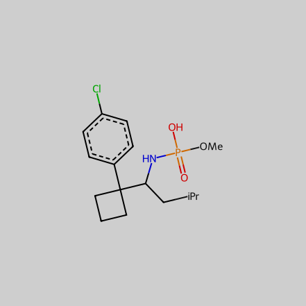 COP(=O)(O)NC(CC(C)C)C1(c2ccc(Cl)cc2)CCC1